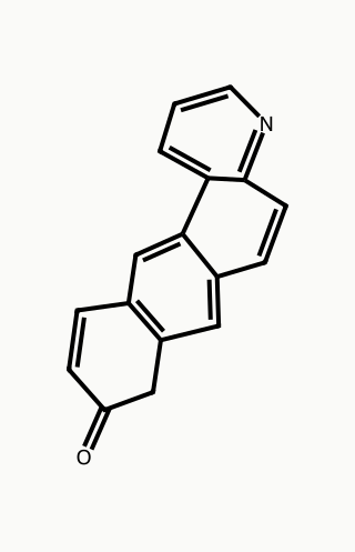 O=C1C=Cc2cc3c(ccc4ncccc43)cc2C1